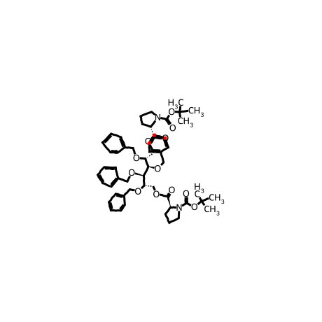 CC(C)(C)OC(=O)N1CCC[C@H]1C(=O)OC[C@H](OCc1ccccc1)[C@@H](OCc1ccccc1)[C@H](OCc1ccccc1)[C@@H](COC(=O)[C@@H]1CCCN1C(=O)OC(C)(C)C)OCc1ccccc1